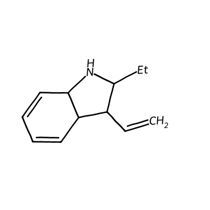 C=CC1C(CC)NC2C=CC=CC21